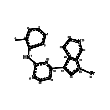 Cc1ccccc1Nc1nccc(-c2cn(C(C)C)c3cnccc23)n1